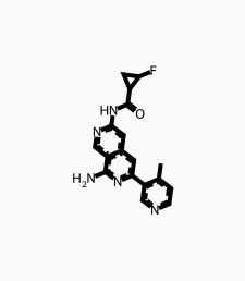 Cc1ccncc1-c1cc2cc(NC(=O)C3CC3F)ncc2c(N)n1